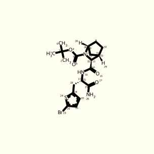 CC(C)(C)OC(=O)N1[C@@H]2CC[C@@H](C2)[C@H]1C(=O)N[C@@H](Cc1ccc(Br)s1)C(N)=O